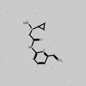 C=Cc1cccc(NC(=O)CN(C=O)C2CC2)n1